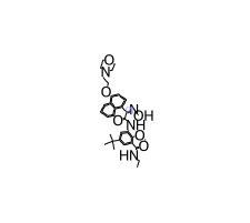 CCNC(=O)c1cc(C(C)(C)C)cc(NC(=O)/C(=N\O)c2ccc(OCCN3CCOCC3)c3ccccc23)c1OC